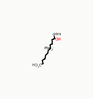 CCCCCCC(O)CCCCCCCCCCC(=O)O.[PbH2]